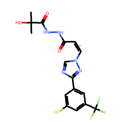 CC(C)(O)C(=O)NNC(=O)/C=C\n1cnc(-c2cc(S)cc(C(F)(F)F)c2)n1